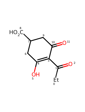 CCC(=O)C1=C(O)CC(C(=O)O)CC1=O